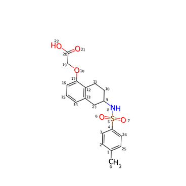 Cc1ccc(S(=O)(=O)NC2CCc3c(cccc3OCC(=O)O)C2)cc1